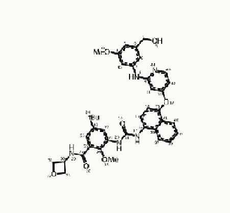 COc1cc(CO)cc(Nc2cc(Oc3ccc(NC(=O)Nc4cc(C(C)(C)C)cc(C(=O)NC5COC5)c4OC)c4ccccc34)ccn2)c1